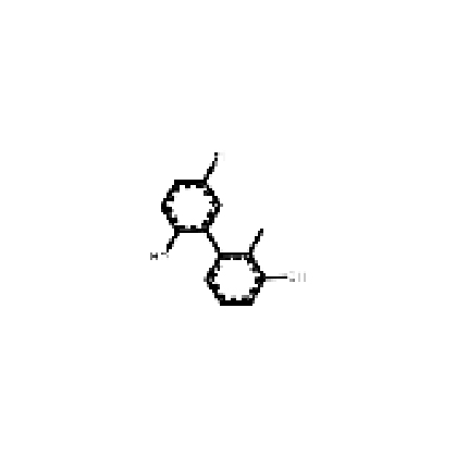 Cc1c(O)cccc1-c1cc(Cl)ccc1O